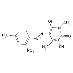 Cc1ccc(/N=N/c2c(C)c(C#N)c(=O)n(C)c2O)c([N+](=O)[O-])c1